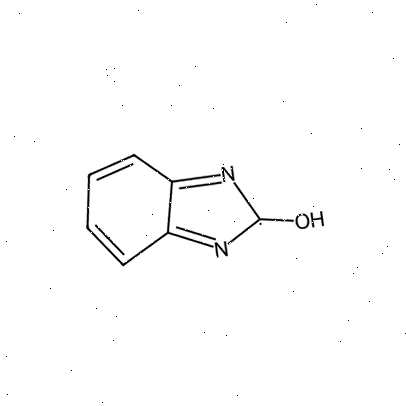 O[C]1N=c2ccccc2=N1